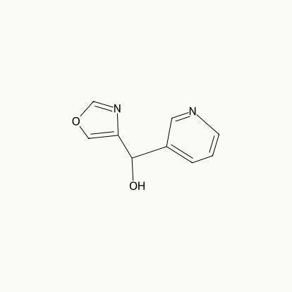 OC(c1cccnc1)c1cocn1